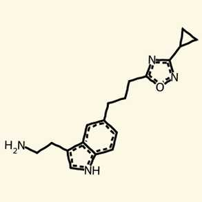 NCCc1c[nH]c2ccc(CCCc3nc(C4CC4)no3)cc12